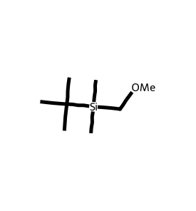 COC[Si](C)(C)C(C)(C)C